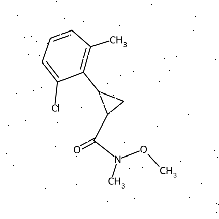 CON(C)C(=O)C1CC1c1c(C)cccc1Cl